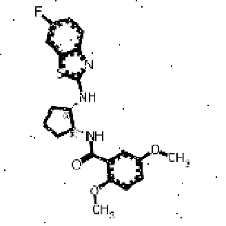 COc1ccc(OC)c(C(=O)N[C@@H]2CCC[C@@H]2Nc2nc3ccc(F)cc3s2)c1